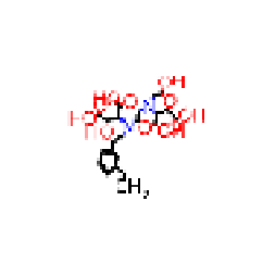 C=Cc1cccc(C(O)CN(CCN(CC(=O)O)C(CC(=O)O)C(=O)O)C(CC(=O)O)C(=O)O)c1